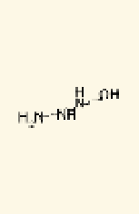 NCCNCCNCCCO